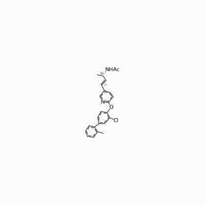 CC(=O)N[C@@H](C)/C=C/c1ccc(Oc2ccc(-c3ccccc3C)cc2Cl)nc1